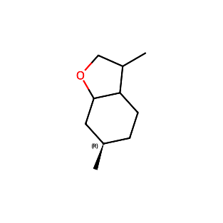 CC1COC2C[C@H](C)CCC12